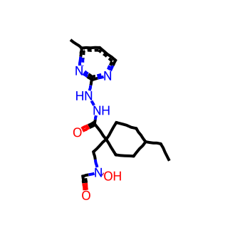 CCC1CCC(CN(O)C=O)(C(=O)NNc2nccc(C)n2)CC1